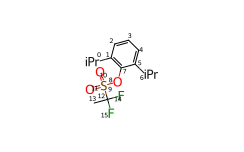 CC(C)c1cccc(C(C)C)c1OS(=O)(=O)C(C)(F)F